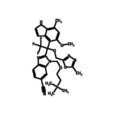 COc1cc(C)c2[nH]ccc2c1C(OCc1nnc(C)o1)(c1nc2ccc(C#N)cc2n1COCC[Si](C)(C)C)C(F)(F)F